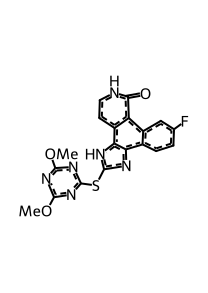 COc1nc(OC)nc(Sc2nc3c4ccc(F)cc4c4c(=O)[nH]ccc4c3[nH]2)n1